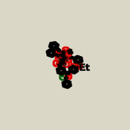 CCOc1ccc(C(OCc2ccccc2)c2cc(C(=O)[C@H](O)[C@@H](OCc3ccccc3)[C@H](OCc3ccccc3)C3(COCc4ccccc4)COC(C)(C)O3)ccc2Cl)cc1